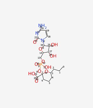 CCCC1CCCC(OP(=O)(O)OCC2OC(n3ccc(N)nc3=O)C(O)C2O)(C(=O)O)O1